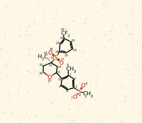 Cc1cc(S(C)(=O)=O)ccc1C1C[C@](C)(S(=O)(=O)c2cccc(C(F)(F)F)c2)CCO1